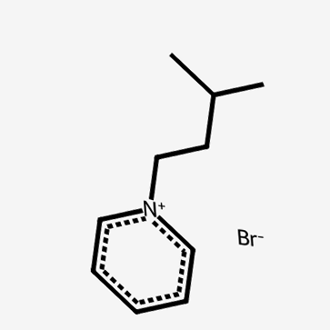 CC(C)CC[n+]1ccccc1.[Br-]